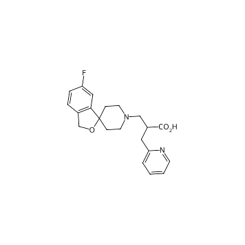 O=C(O)C(Cc1ccccn1)CN1CCC2(CC1)OCc1ccc(F)cc12